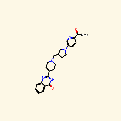 CNC(=O)c1ccc(N2CCC(CN3CCC(c4nc5ccccc5c(=O)[nH]4)CC3)C2)cn1